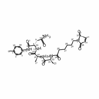 [CH2]c1ccc(NC(=O)[C@H](CC(N)=O)NC(=O)[C@H](C)NC(=O)[C@H](C)NC(=O)CCCCCN2C(=O)C=CC2=O)cc1